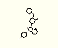 C[C@@H](c1ccccn1)n1ccc(-c2nn(-c3ccc(F)cc3)c3cccnc23)cc1=O